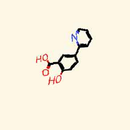 O=C(O)c1cc(-c2ccccn2)ccc1O